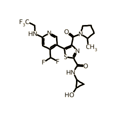 CC1CCCN1C(=O)c1nc(C(=O)NC2CC2O)sc1-c1cnc(NCC(F)(F)F)cc1C(F)F